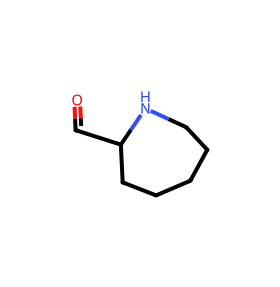 O=CC1CCCCCN1